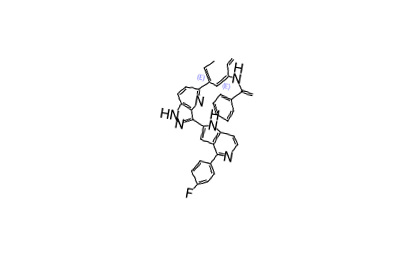 C=C/C(=C\C(=C/C)c1ccc2[nH]nc(-c3cc4c(-c5ccc(F)cc5)nccc4[nH]3)c2n1)NC(=C)c1ccccc1